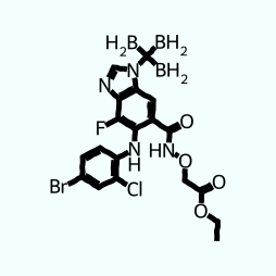 BC(B)(B)n1cnc2c(F)c(Nc3ccc(Br)cc3Cl)c(C(=O)NOCC(=O)OCC)cc21